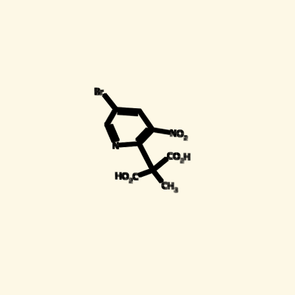 CC(C(=O)O)(C(=O)O)c1ncc(Br)cc1[N+](=O)[O-]